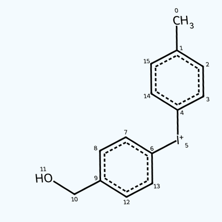 Cc1ccc([I+]c2ccc(CO)cc2)cc1